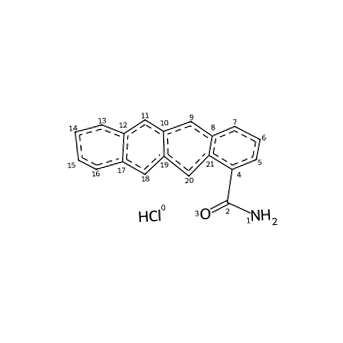 Cl.NC(=O)c1cccc2cc3cc4ccccc4cc3cc12